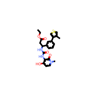 CCOC(=O)CC(NC(=O)Nc1c(O)ccn(C)c1=O)c1cccc(-c2cscc2C)c1